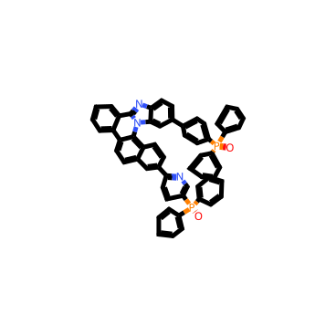 O=P(c1ccccc1)(c1ccccc1)c1ccc(-c2ccc3nc4c5ccccc5c5ccc6cc(-c7ccc(P(=O)(c8ccccc8)c8ccccc8)cn7)ccc6c5n4c3c2)cc1